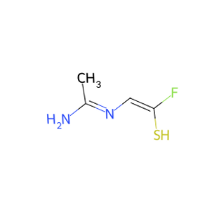 C/C(N)=N\C=C(\F)S